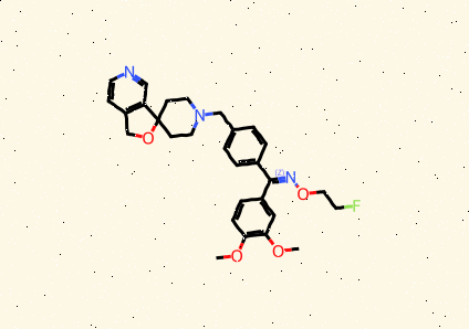 COc1ccc(/C(=N\OCCF)c2ccc(CN3CCC4(CC3)OCc3ccncc34)cc2)cc1OC